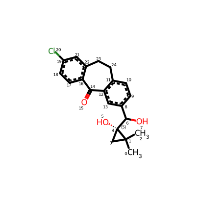 CC1(C)C[C@@]1(O)C(O)c1ccc2c(c1)C(=O)c1ccc(Cl)cc1CC2